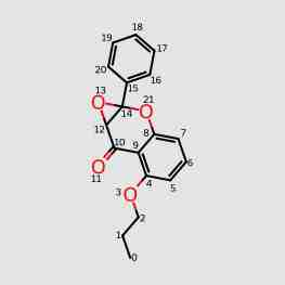 CCCOc1cccc2c1C(=O)C1OC1(c1ccccc1)O2